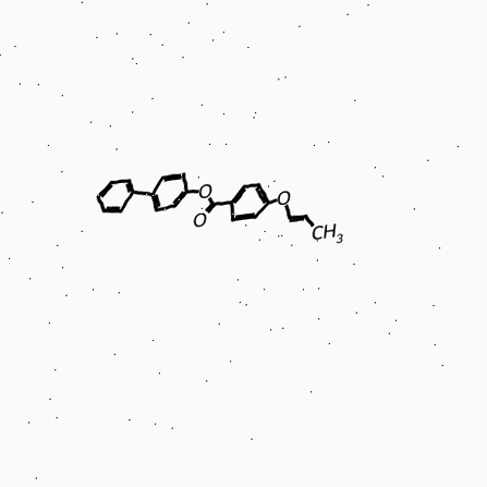 CC=COc1ccc(C(=O)Oc2ccc(-c3ccccc3)cc2)cc1